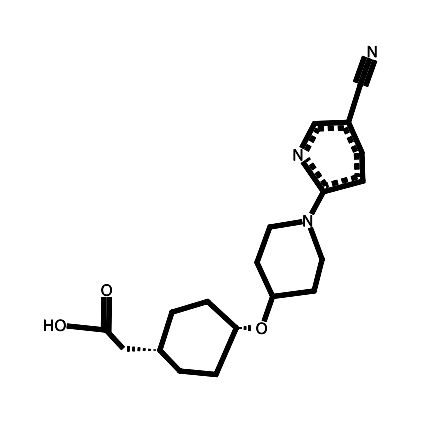 N#Cc1ccc(N2CCC(O[C@H]3CC[C@@H](CC(=O)O)CC3)CC2)nc1